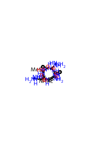 CSCC[C@@H]1NC(=O)[C@@H](NC(O)[C@H](CCCNC(=N)N)NC(C)=O)CC(=O)NCCCC[C@@H](C(N)=O)NC(=O)[C@H](Cc2c[nH]c3ccccc23)NC(=O)[C@H](CCCNC(=N)N)NC(=O)[C@@H](Cc2ccccc2)NC1O